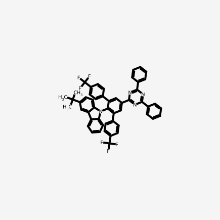 CC(C)(C)c1ccc2c(c1)c1ccccc1n2-c1c(-c2ccc(C(F)(F)F)cc2)cc(-c2nc(-c3ccccc3)nc(-c3ccccc3)n2)cc1-c1ccc(C(F)(F)F)cc1